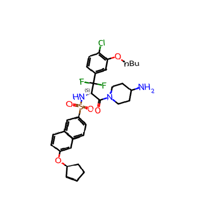 CCCCOc1cc(C(F)(F)[C@@H](NS(=O)(=O)c2ccc3cc(OC4CCCC4)ccc3c2)C(=O)N2CCC(N)CC2)ccc1Cl